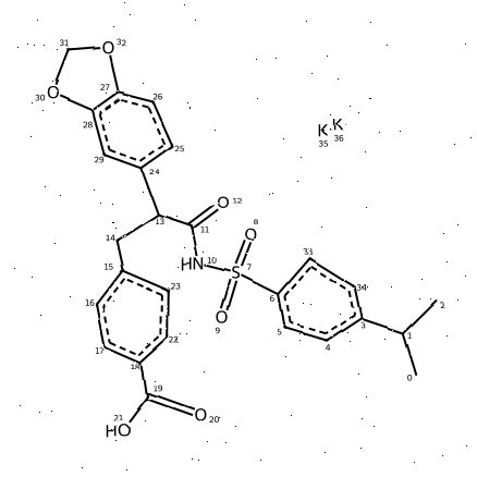 CC(C)c1ccc(S(=O)(=O)NC(=O)C(Cc2ccc(C(=O)O)cc2)c2ccc3c(c2)OCO3)cc1.[K].[K]